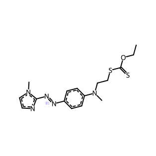 CCOC(=S)SCCN(C)c1ccc(/N=N/c2nccn2C)cc1